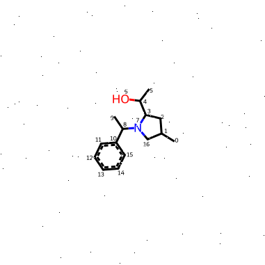 CC1CC(C(C)O)N(C(C)c2ccccc2)C1